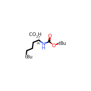 CC(C)(C)CCC[C@@H](NC(=O)OC(C)(C)C)C(=O)O